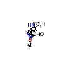 C[Si](C)(C)CCOCn1cc(C=O)c2c(C3=CCCC(NC(=O)O)C3)ccnc21